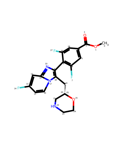 COC(=O)c1cc(F)c(-c2nc3cc(F)ccn3c2C[C@H]2CNCCO2)c(F)c1